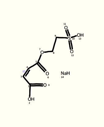 O=C(O)/C=C\C(=O)OCCS(=O)(=O)O.[NaH]